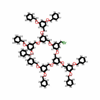 BrCc1cc(OCc2cc(OCc3cc(OCc4ccccc4)cc(OCc4ccccc4)c3)cc(OCc3cc(OCc4ccccc4)cc(OCc4ccccc4)c3)c2)cc(OCc2cc(OCc3cc(OCc4ccccc4)cc(OCc4ccccc4)c3)cc(OCc3cc(OCc4ccccc4)cc(OCc4ccccc4)c3)c2)c1